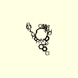 CC[C@@H]1[C@H](OC)C/C=C/[C@H](OCCN2CCOCC2)[C@@H]2CC[C@H]2CN2C[C@@]3(CCCc4cc(Cl)ccc43)COc3ccc(cc32)C(=O)NS1(=O)=O